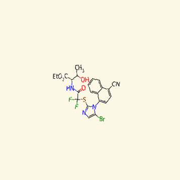 CCOC(=O)C(NC(=O)C(F)(F)Sc1ncc(Br)n1-c1ccc(C#N)c2ccccc12)C(C)O